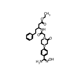 CCOC(=O)CC(CCc1ccccc1)NC(=O)CN1CCN(c2ccc(/C(N)=N\O)cc2)CC1=O